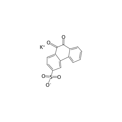 O=C1C(=O)c2ccc(S(=O)(=O)[O-])cc2-c2ccccc21.[K+]